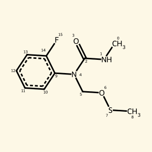 CNC(=O)N(COSC)c1ccccc1F